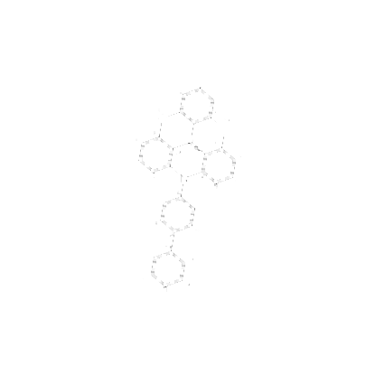 S=P12c3c4cccc3Oc3cccc(c31)N(c1ccc(-c3ccccc3)cc1)c1cccc(c12)O4